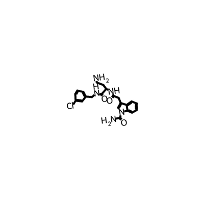 NCCC(NC(=O)Cc1cn(C(N)=O)c2ccccc12)C(=O)NCc1cccc(Cl)c1